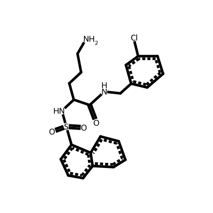 NCCCC(NS(=O)(=O)c1cccc2ccccc12)C(=O)NCc1cccc(Cl)c1